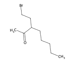 CCCCCC(CCBr)C(C)=O